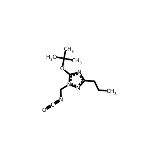 CCCc1nc(OC(C)(C)C)n(CN=C=O)n1